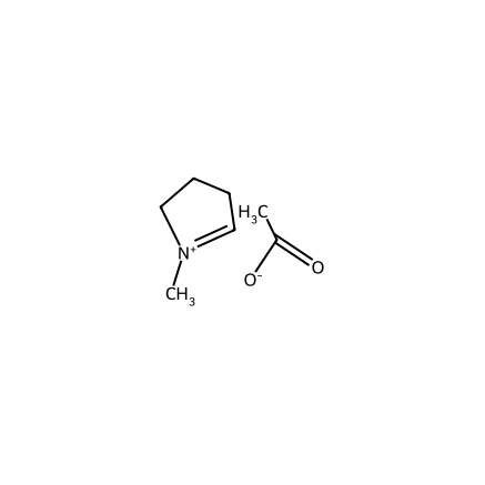 CC(=O)[O-].C[N+]1=CCCC1